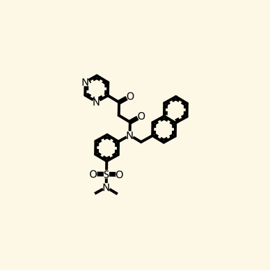 CN(C)S(=O)(=O)c1cccc(N(Cc2ccc3ccccc3c2)C(=O)CC(=O)c2ccncn2)c1